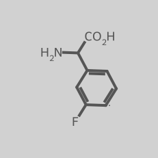 NC(C(=O)O)c1cc[c]c(F)c1